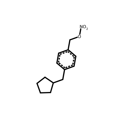 O=[N+]([O-])OCc1ccc(CC2CCCC2)cc1